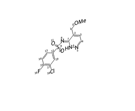 COCc1ccn[nH]c1=NS(=O)(=O)c1ccc(F)c(Cl)c1